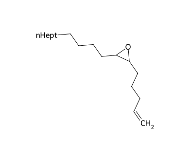 C=CCCCC1OC1CCCCCCCCCCC